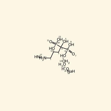 NCCCC(O)(P(=O)(O)O)P(=O)(O)O.O.O.O.[NaH].[NaH]